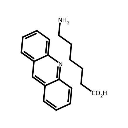 NCCCCCC(=O)O.c1ccc2nc3ccccc3cc2c1